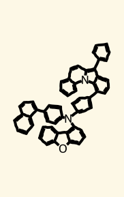 c1ccc(-c2c3cccc(-c4ccc(N(c5ccc(-c6cccc7ccccc67)cc5)c5cccc6oc7ccccc7c56)cc4)c3n3c2ccc2ccccc23)cc1